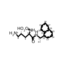 C[C@H](NC(=O)C(CCCN)NC(=O)O)c1cccc2ccccc12